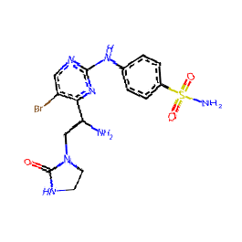 NC(CN1CCNC1=O)c1nc(Nc2ccc(S(N)(=O)=O)cc2)ncc1Br